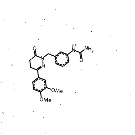 COc1ccc(C2=NN(Cc3cccc(NC(N)=O)c3)C(=O)CC2)cc1OC